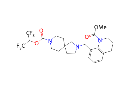 COC(=O)N1CCCc2cccc(CN3CCC4(CCN(C(=O)OC(C(F)(F)F)C(F)(F)F)CC4)C3)c21